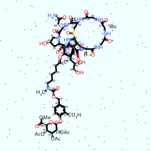 CC[C@H](C)C1NC(=O)CNC(=O)[C@@H]2Cc3c([nH]c4cc(OCCCCCCN(C)C(=O)OCc5ccc(O[C@@H]6O[C@H](C(=O)OC)[C@@H](OC(C)=O)[C@H](OC(C)=O)[C@H]6OC(C)=O)c(C(=O)O)c5)ccc34)[S+]([O-])C[C@H](NC(=O)CNC1=O)C(=O)N[C@@H](CC(N)=O)C(=O)N1C[C@H](O)CC1C(=O)N[C@@H]([C@@H](C)[C@@H](O)CO)C(=O)N2